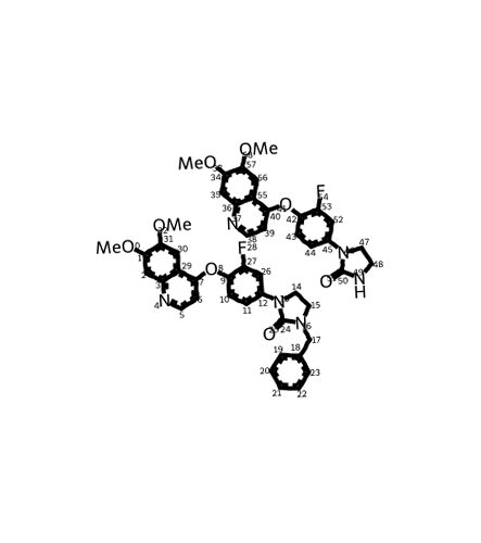 COc1cc2nccc(Oc3ccc(N4CCN(Cc5ccccc5)C4=O)cc3F)c2cc1OC.COc1cc2nccc(Oc3ccc(N4CCNC4=O)cc3F)c2cc1OC